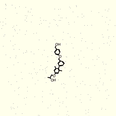 Cc1cc(OCC(C)O)cc(C)c1-c1cccc(COc2ccc(CO)cc2)c1